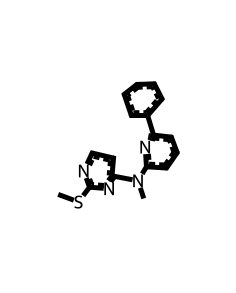 CSc1nccc(N(C)c2cccc(-c3ccccc3)n2)n1